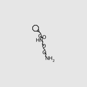 NCCOCCOCCNC(=O)OCC1C2CCCCCCC21